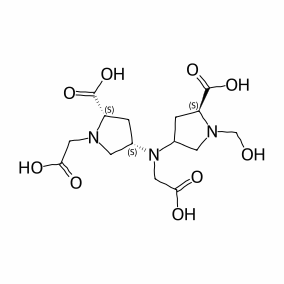 O=C(O)CN1C[C@@H](N(CC(=O)O)C2C[C@@H](C(=O)O)N(CO)C2)C[C@H]1C(=O)O